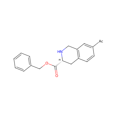 CC(=O)c1ccc2c(c1)CN[C@@H](C(=O)OCc1ccccc1)C2